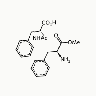 CC(=O)N[C@H](Cc1ccccc1)C(=O)O.COC(=O)[C@@H](N)Cc1ccccc1